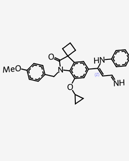 COc1ccc(CN2C(=O)C3(CCC3)c3cc(/C(=C/C=N)Nc4ccccc4)cc(OC4CC4)c32)cc1